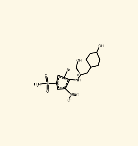 NS(=O)(=O)c1cc(Br)c(N[C@@H](CO)CC2CCC(O)CC2)c([N+](=O)[O-])c1